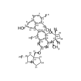 C#Cc1c(F)ccc2cc(O)cc(-c3cc4c5c(nc(OC[C@@]67CCCN6C[C@H](F)C7)nc5c3F)N(C)[C@H]3CC[C@H]3O4)c12